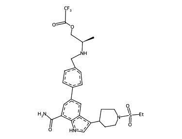 CCS(=O)(=O)N1CCC(c2c[nH]c3c(C(N)=O)cc(-c4ccc(CN[C@H](C)COC(=O)C(F)(F)F)cc4)cc23)CC1